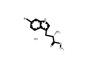 COC(=O)[C@@H](N)Cc1c[nH]c2cc(Br)ccc12.Cl